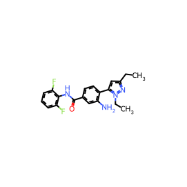 CCc1cc(-c2ccc(C(=O)Nc3c(F)cccc3F)cc2N)n(CC)n1